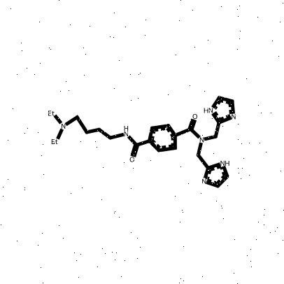 CCN(CC)CCCCNC(=O)c1ccc(C(=O)N(Cc2ncc[nH]2)Cc2ncc[nH]2)cc1